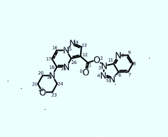 O=C(On1nnc2cccnc21)c1cnn2ccc(N3CCOCC3)nc12